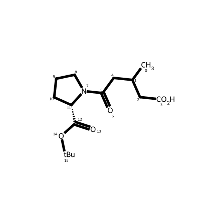 CC(CC(=O)O)CC(=O)N1CCC[C@H]1C(=O)OC(C)(C)C